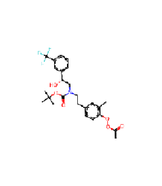 CC(=O)OOc1ccc(CCN(C[C@H](O)c2cccc(C(F)(F)F)c2)C(=O)OC(C)(C)C)cc1C